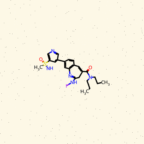 CCCN(CCC)C(=O)C1=Cc2ccc(-c3cncc(S(C)(=N)=O)c3)cc2N=C(NI)C1